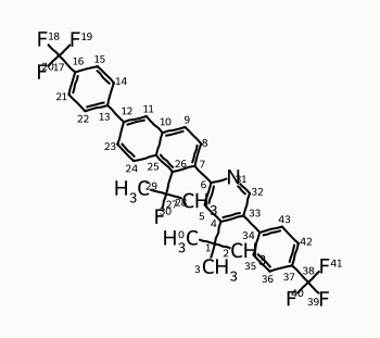 CC(C)(C)c1cc(-c2ccc3cc(-c4ccc(C(F)(F)F)cc4)ccc3c2C(C)(C)F)ncc1-c1ccc(C(F)(F)F)cc1